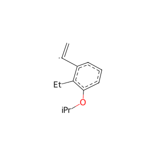 C=[C]c1cccc(OC(C)C)c1CC